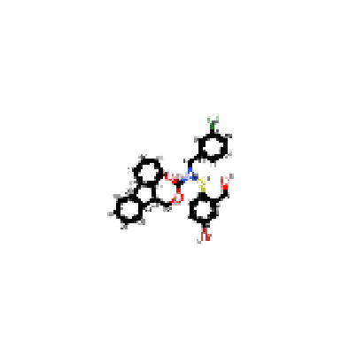 O=Cc1cc(Br)ccc1SN(Cc1cccc(Cl)c1)C(=O)OCC1c2ccccc2-c2ccccc21